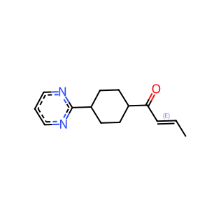 C/C=C/C(=O)C1CCC(c2ncccn2)CC1